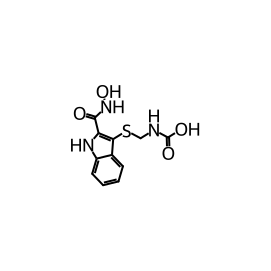 O=C(O)NCSc1c(C(=O)NO)[nH]c2ccccc12